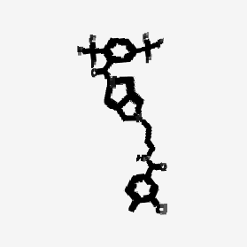 Cc1ccc(C(=O)NCCCN2CC3CN(C(=O)c4cc(C(F)(F)F)ccc4C(F)(F)F)CC3C2)cc1Cl